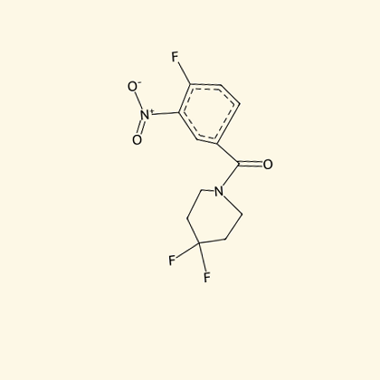 O=C(c1ccc(F)c([N+](=O)[O-])c1)N1CCC(F)(F)CC1